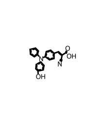 N#C/C(=C\c1ccc(N(c2ccccc2)c2ccc(O)cc2)cc1)C(=O)O